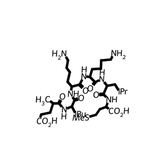 CCC(C)C(NC(=O)C(C)CCC(=O)O)C(=O)NC(CCCCN)C(=O)NC(CCCCN)C(=O)NC(CC(C)C)C(=O)NC(CCSC)C(=O)O